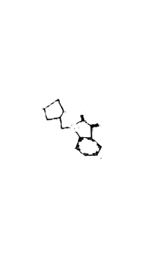 O=C1C(=O)N(CC2CCCC2)c2ccccc21